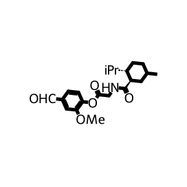 COc1cc(C=O)ccc1OC(=O)CNC(=O)[C@@H]1CC(C)CC[C@H]1C(C)C